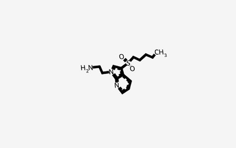 CCCCCS(=O)(=O)c1cn(CCN)c2ncccc12